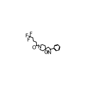 O=C(CCCC(F)(F)F)N1CCC2(CC1)CC(c1ccccc1)=NO2